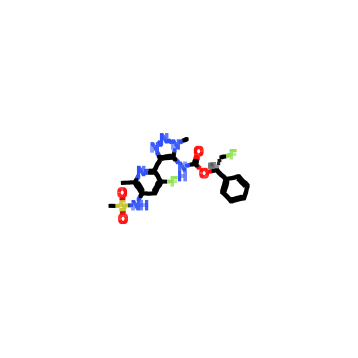 Cc1nc(-c2nnn(C)c2NC(=O)O[C@H](CF)c2ccccc2)c(F)cc1NS(C)(=O)=O